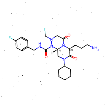 NCCC[C@H]1C(=O)N(C2CCCCC2)C[C@H]2N1C(=O)CN(CF)N2C(=O)NCc1ccc(F)cc1